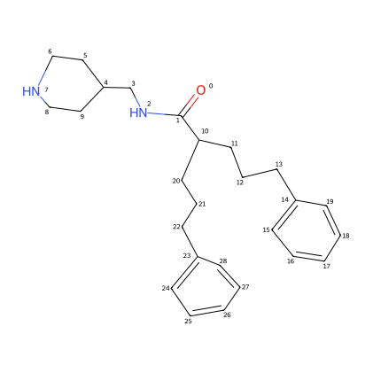 O=C(NCC1CCNCC1)C(CCCc1ccccc1)CCCc1ccccc1